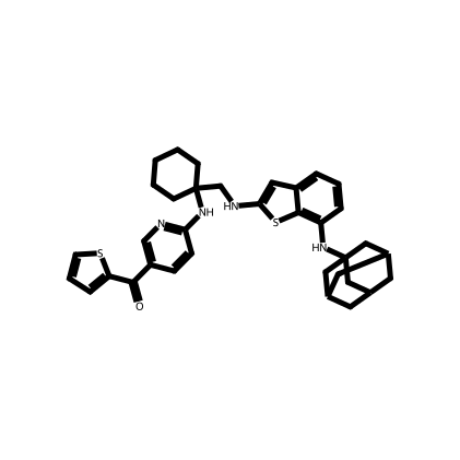 O=C(c1ccc(NC2(CNc3cc4cccc(NC56CC7CC(CC(C7)C5)C6)c4s3)CCCCC2)nc1)c1cccs1